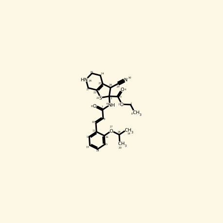 CCOC(=O)C1(NC(=O)C=Cc2ccccc2OC(C)C)SC2=C(CCNC2)C1C#N